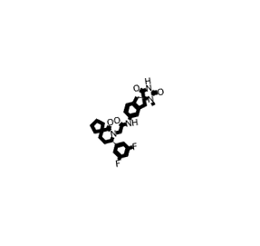 CN1C(=O)NC(=O)[C@@]12Cc1ccc(NC(=O)CN3C(=O)C4(CCCC4)CC[C@H]3c3cc(F)cc(F)c3)cc1C2